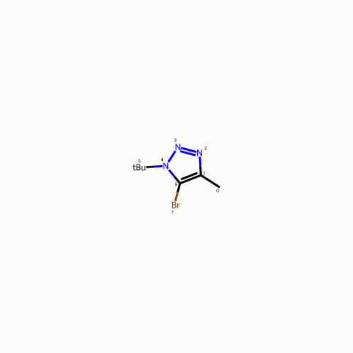 Cc1nnn(C(C)(C)C)c1Br